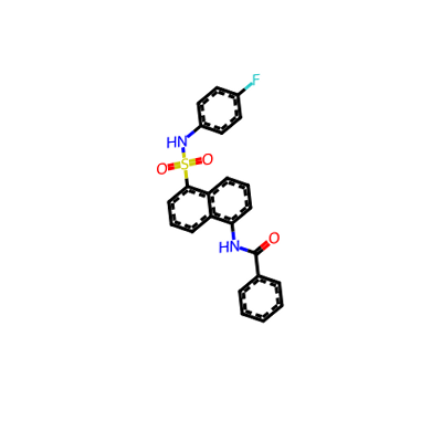 O=C(Nc1cccc2c(S(=O)(=O)Nc3ccc(F)cc3)cccc12)c1ccccc1